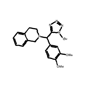 COc1ccc(C(c2nnnn2C(C)(C)C)N2CCc3ccccc3C2)cc1OC